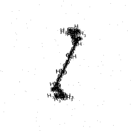 CC(C)(C)OC(=O)[C@H](Cc1ccc(-n2c(=O)n(CC(=O)NCCOCCOCCC(=O)NCCCOCCOCCCNC(=O)CCOCCOCCNC(=O)Cn3c(=O)n(-c4ccc(C[C@H](NC(=O)[C@H]5NCSC5(C)C)C(=O)OC(C)(C)C)cc4)c4ncccc43)c3cccnc32)cc1)NC(=O)[C@H]1NCSC1(C)C